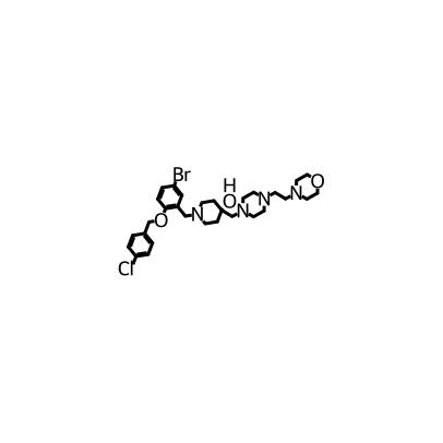 OC1(CN2CCN(CCN3CCOCC3)CC2)CCN(Cc2cc(Br)ccc2OCc2ccc(Cl)cc2)CC1